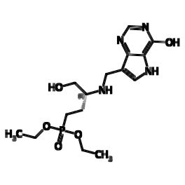 CCOP(=O)(CC[C@H](CO)NCc1c[nH]c2c(O)ncnc12)OCC